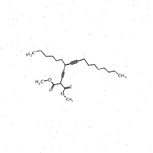 [CH2]CCCCCC(C#CCCCCCCCC)C#CC(C(=O)OC)C(=O)OC